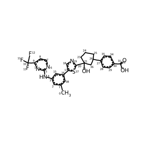 Cc1cc(Nc2nccc(C(F)(F)F)n2)cc(-c2cnc(C3(O)CCCC(c4ccc(C(=O)O)cc4)C3)s2)c1